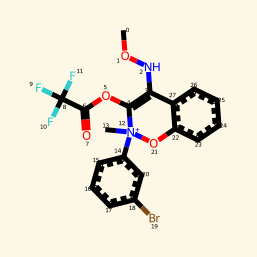 CONC1=C(OC(=O)C(F)(F)F)[N+](C)(c2cccc(Br)c2)Oc2ccccc21